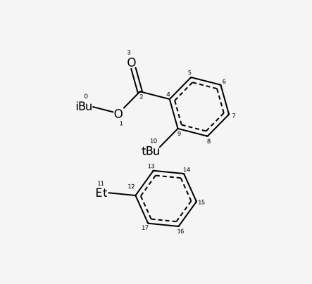 CCC(C)OC(=O)c1ccccc1C(C)(C)C.CCc1ccccc1